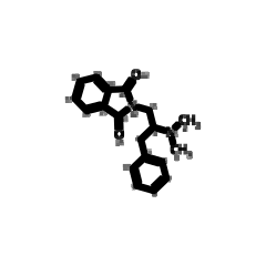 CN(C)C(Cc1ccccc1)CN1C(=O)c2ccccc2C1=O